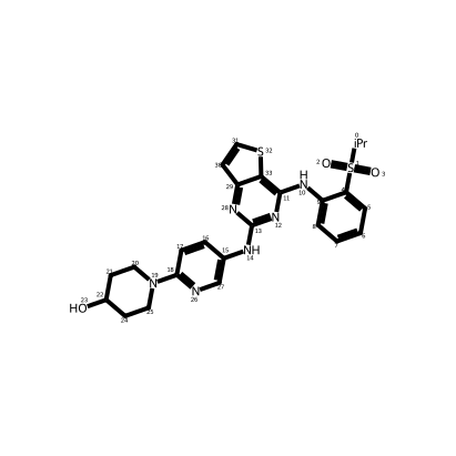 CC(C)S(=O)(=O)c1ccccc1Nc1nc(Nc2ccc(N3CCC(O)CC3)nc2)nc2ccsc12